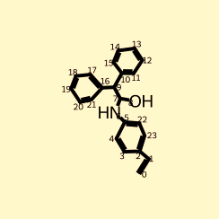 C=Cc1ccc(NC(O)C(c2ccccc2)c2ccccc2)cc1